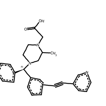 CC1CN([C@H](c2ccccc2)c2cccc(C#Cc3cccnc3)c2)CCN1CC(=O)O